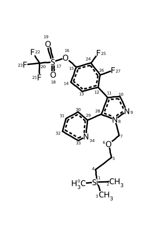 C[Si](C)(C)CCOCn1ncc(-c2ccc(OS(=O)(=O)C(F)(F)F)c(F)c2F)c1-c1ccccn1